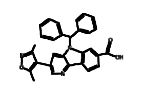 Cc1noc(C)c1-c1cnc2c3ccc(C(=O)O)cc3n(C(c3ccccc3)c3ccccc3)c2c1